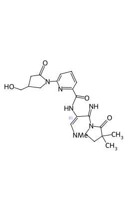 CN/C=C(/NC(=O)c1cccc(N2CC(CO)CC2=O)n1)C(=N)N1CCC(C)(C)C1=O